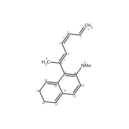 C=C/C=C\C=C(/C)c1c(NC)ccc2c1=CCCC=2